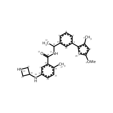 COc1cc(C)c(-c2cccc(C(C)NC(=O)c3cc(NC4CNC4)ccc3C)c2)s1